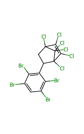 ClC1=C(Cl)C2(Cl)C(c3c(Br)c(Br)cc(Br)c3Br)CC1(Cl)C2(Cl)Cl